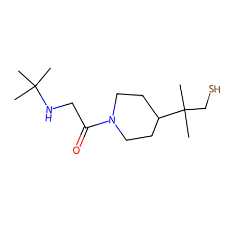 CC(C)(C)NCC(=O)N1CCC(C(C)(C)CS)CC1